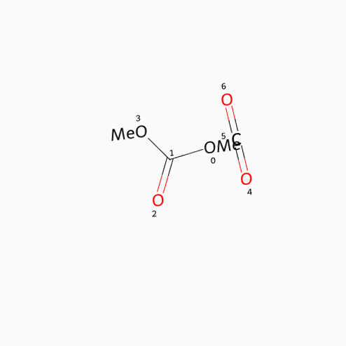 COC(=O)OC.O=C=O